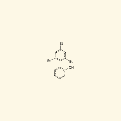 CCc1cc(CC)c(-c2ccccc2O)c(CC)c1